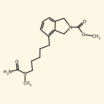 COC(=O)N1Cc2cccc(CCCCCN(C)C(N)=O)c2C1